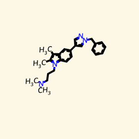 Cc1c(C)n(CCCN(C)C)c2ccc(-c3cnn(Cc4ccccc4)c3)cc12